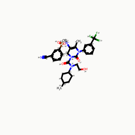 [C-]#[N+]C1=C(C)N(c2cccc(C(F)(F)F)c2)C(=O)N(C(=O)N(CCO)C2CCC(C)CC2)[C@@H]1c1ccc(C#N)cc1S(C)(=O)=O